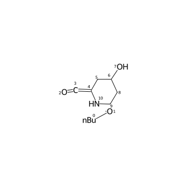 CCCC[O].O=C=C1CC(O)CCN1